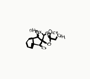 CCCCCCCCC(CCCCCC)C1(OC(=O)CO)C(=O)c2ccccc2C1=O